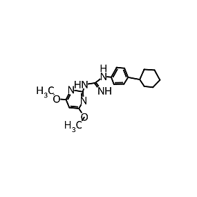 COc1cc(OC)nc(NC(=N)Nc2ccc(C3CCCCC3)cc2)n1